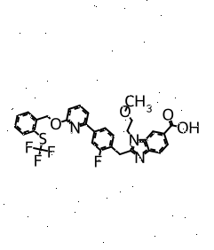 COCCn1c(Cc2ccc(-c3cccc(OCc4ccccc4SC(F)(F)F)n3)cc2F)nc2ccc(C(=O)O)cc21